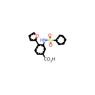 O=C(O)c1ccc(-c2ccco2)c(NS(=O)(=O)c2ccccc2)c1